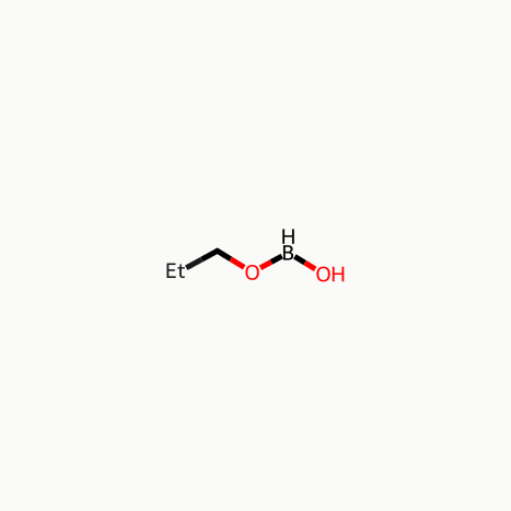 CCCOBO